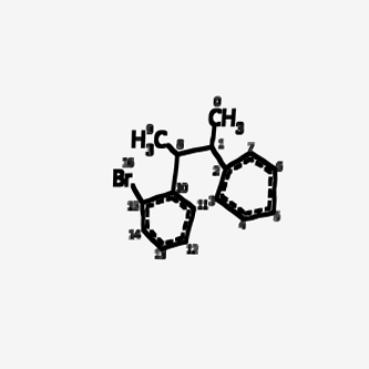 CC(c1ccccc1)C(C)c1ccccc1Br